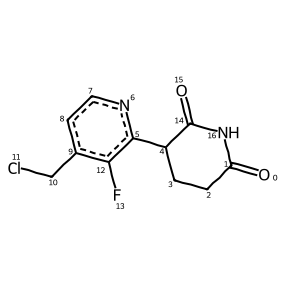 O=C1CCC(c2nccc(CCl)c2F)C(=O)N1